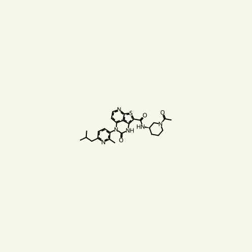 CC(=O)N1CCC[C@@H](NC(=O)c2sc3nccc4c3c2NC(=O)N4c2ccc(CC(C)C)nc2C)C1